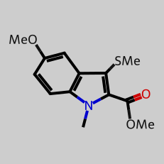 COC(=O)c1c(SC)c2cc(OC)ccc2n1C